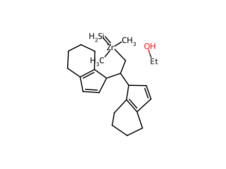 CCO.[CH3][Zr]([CH3])(=[SiH2])[CH2]C(C1C=CC2=C1CCCC2)C1C=CC2=C1CCCC2